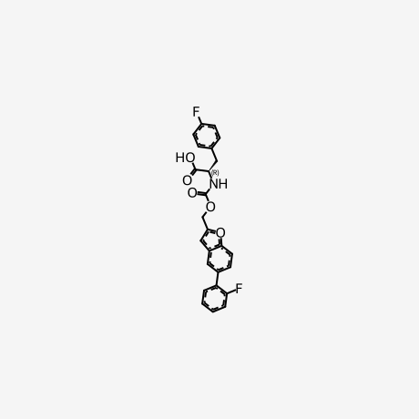 O=C(N[C@H](Cc1ccc(F)cc1)C(=O)O)OCc1cc2cc(-c3ccccc3F)ccc2o1